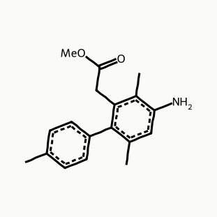 COC(=O)Cc1c(C)c(N)cc(C)c1-c1ccc(C)cc1